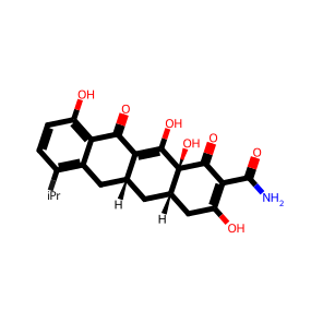 CC(C)c1ccc(O)c2c1C[C@H]1C[C@H]3CC(O)=C(C(N)=O)C(=O)[C@@]3(O)C(O)=C1C2=O